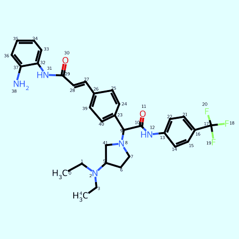 CCN(CC)C1CCN(C(C(=O)Nc2ccc(C(F)(F)F)cc2)c2ccc(/C=C/C(=O)Nc3ccccc3N)cc2)C1